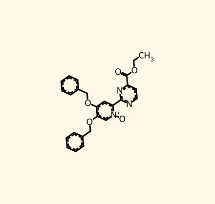 CCOC(=O)c1ccnc(-c2cc(OCc3ccccc3)c(OCc3ccccc3)c[n+]2[O-])n1